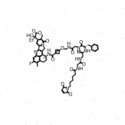 CC[C@@]1(O)C(=O)OCc2c1cc1n(c2=O)Cc2c-1nc1cc(F)c(C)c3c1c2[C@@H](NC(=O)C12CC(OCNC(=O)CNC(=O)[C@H](Cc4ccccc4)NC(=O)CNC(=O)CNC(=O)CCCCCN4C(=O)C=CC4=O)(C1)C2)CC3